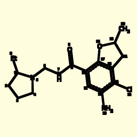 CCC1CCCN1CNC(=O)c1cc(N)c(Cl)c2c1OC(C)C2